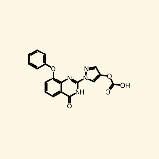 O=C(O)Oc1cnn(-c2nc3c(Oc4ccccc4)cccc3c(=O)[nH]2)c1